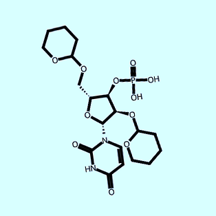 O=c1ccn([C@@H]2O[C@H](COC3CCCCO3)[C@@H](OP(=O)(O)O)[C@H]2OC2CCCCO2)c(=O)[nH]1